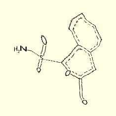 NS(=O)(=O)c1oc(=O)cc2ccccc12